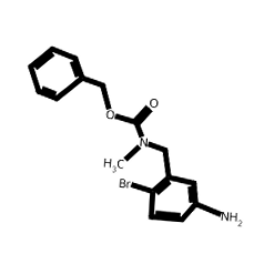 CN(Cc1cc(N)ccc1Br)C(=O)OCc1ccccc1